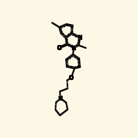 Cc1ccc2nc(C)n(-c3ccc(OCCCN4CCCCC4)cc3)c(=O)c2c1